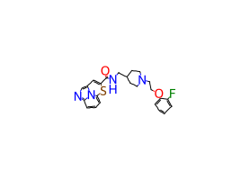 O=C(NCC1CCN(CCOc2ccccc2F)CC1)C1=Cc2cnc3cccc(n23)S1